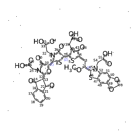 CO/C(C=c1s/c(=c2\s/c(=c3\oc(=C4C(=O)c5ccccc5C4=O)n(CC(=O)O)c3=O)n(CC(=O)O)c2=O)n(CC(=O)O)c1=O)=C1\Sc2cc3c(cc2N1CC(=O)O)OCO3